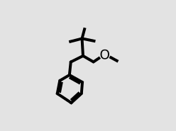 COCC(Cc1ccccc1)C(C)(C)C